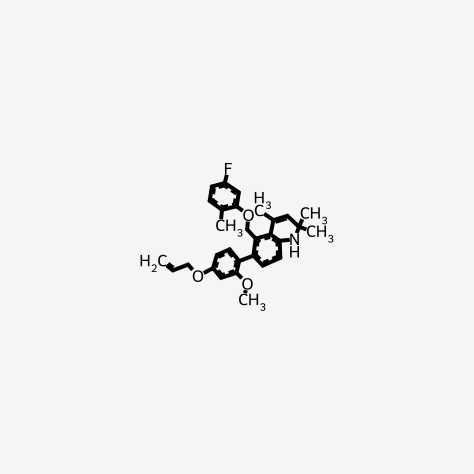 C=CCOc1ccc(-c2ccc3c(c2COc2cc(F)ccc2C)C(C)=CC(C)(C)N3)c(OC)c1